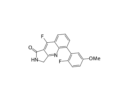 COc1ccc(F)c(-c2cccc3c(F)c4c(nc23)CNC4=O)c1